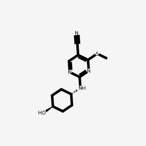 CSc1nc(N[C@H]2CC[C@H](O)CC2)ncc1C#N